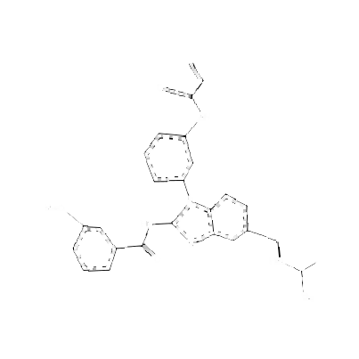 C=CC(=O)Nc1cccc(-n2c(NC(=O)c3cccc(OC)c3)nc3cc(CNC(C)C(C)(C)C)ccc32)c1